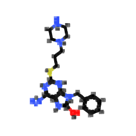 Nc1nc(SCCCN2CCNCC2)nc2c1nc(O)n2Cc1ccccc1